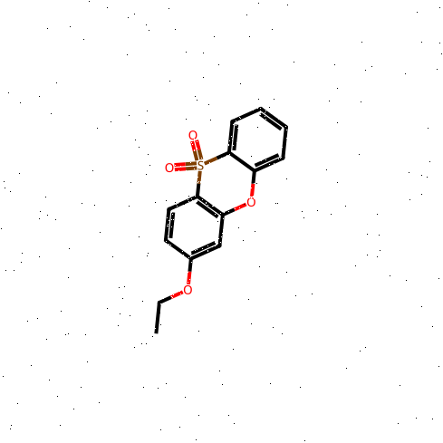 CCOc1ccc2c(c1)Oc1ccccc1S2(=O)=O